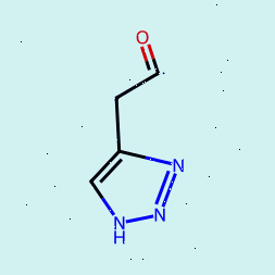 O=[C]Cc1c[nH]nn1